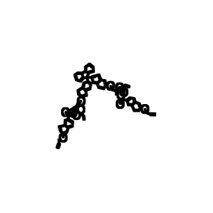 C#CCOc1ccc2cc(C(=O)OCC(COc3ccc4cc(C5(c6ccc7cc(OCC(COC(=O)c8ccc9cc(OCC#C)ccc9c8)OC(=O)C=C)ccc7c6)c6ccccc6-c6ccccc65)ccc4c3)OC(=O)C=C)ccc2c1